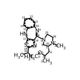 COC(C)C[C@H]1CN(C2=Nc3ccccc3Nc3sc(C(C)C)nc32)CCN1C